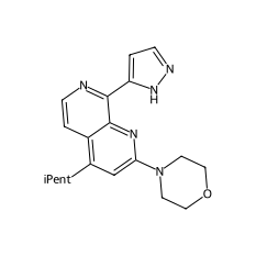 CCCC(C)c1cc(N2CCOCC2)nc2c(-c3ccn[nH]3)nccc12